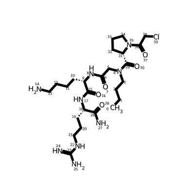 CCCCN(CC(=O)N[C@@H](CCCCN)C(=O)N[C@@H](CCCNC(=N)N)C(N)=O)C(=O)[C@@H]1CCCN1C(=O)CCl